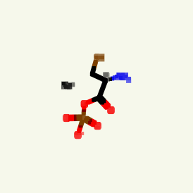 N[C@@H](CS)C(=O)OS(=O)(=O)[O-].[Na+]